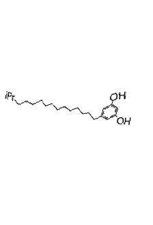 CC(C)CCCCCCCCCCCCCc1cc(O)cc(O)c1